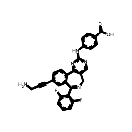 NCC#Cc1ccc2c(c1)C(c1c(F)cccc1F)=NCc1cnc(Nc3ccc(C(=O)O)cc3)nc1-2